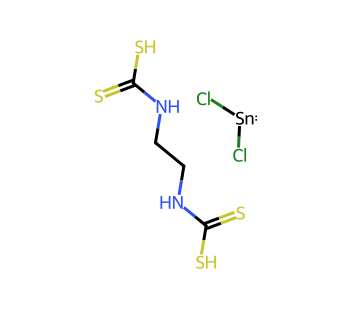 S=C(S)NCCNC(=S)S.[Cl][Sn][Cl]